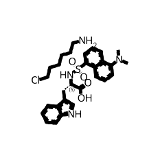 CN(C)c1cccc2c(S(=O)(=O)N[C@@H](Cc3c[nH]c4ccccc34)C(=O)O)cccc12.NCCCCCCCl